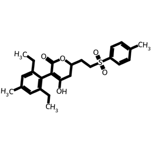 CCc1cc(C)cc(CC)c1C1=C(O)CC(CCS(=O)(=O)c2ccc(C)cc2)OC1=O